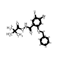 CC(C)(C)C(=O)ONC(=O)c1cc(F)c(Br)cc1OCc1ccccc1